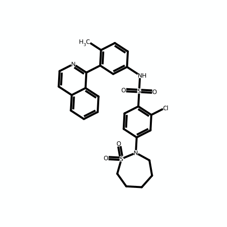 Cc1ccc(NS(=O)(=O)c2ccc(N3CCCCCS3(=O)=O)cc2Cl)cc1-c1nccc2ccccc12